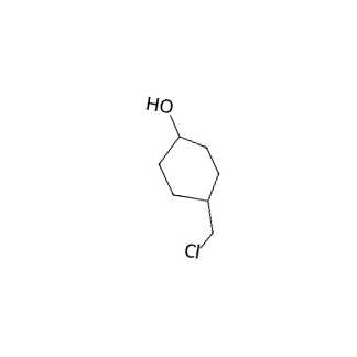 OC1CCC(CCl)CC1